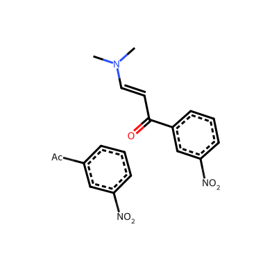 CC(=O)c1cccc([N+](=O)[O-])c1.CN(C)/C=C/C(=O)c1cccc([N+](=O)[O-])c1